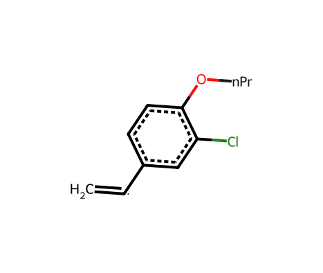 C=[C]c1ccc(OCCC)c(Cl)c1